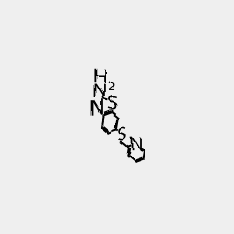 Nc1nc2ccc(SCc3ccccn3)cc2s1